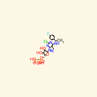 CC(Nc1nc(Cl)nc2c1cnn2[C@@H]1O[C@H](COP(=O)(O)CP(=O)(O)O)[C@@H](O)[C@H]1O)c1ccc(F)cc1